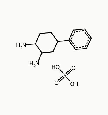 NC1CCC(c2ccccc2)CC1N.O=S(=O)(O)O